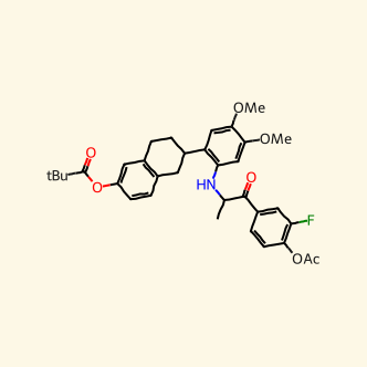 COc1cc(NC(C)C(=O)c2ccc(OC(C)=O)c(F)c2)c(C2CCc3cc(OC(=O)C(C)(C)C)ccc3C2)cc1OC